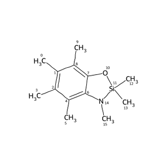 Cc1c(C)c(C)c2c(c1C)O[Si](C)(C)N2C